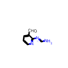 N/C=N/c1ncccc1C=O